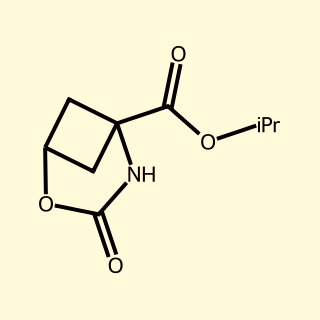 CC(C)OC(=O)C12CC(C1)OC(=O)N2